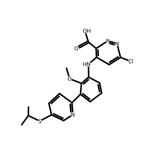 COc1c(Nc2cc(Cl)nnc2C(=O)O)cccc1-c1ccc(SC(C)C)cn1